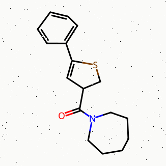 O=C(C1C=C(c2ccccc2)SC1)N1CCCCCC1